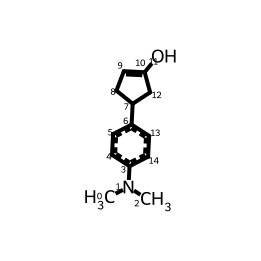 CN(C)c1ccc(C2CC=C(O)C2)cc1